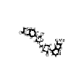 COc1ccc2nccc(N3CCN(C[C@@H]4CN(c5ccc6c(c5)NC(=O)CS6)C(=O)O4)CC3=O)c2n1